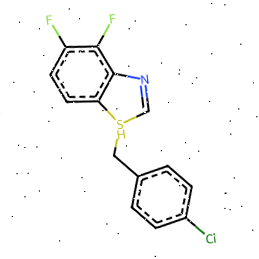 Fc1ccc2c(c1F)N=C[SH]2Cc1ccc(Cl)cc1